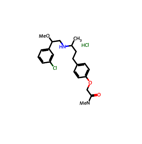 CNC(=O)COc1ccc(CCC(C)NCC(OC)c2cccc(Cl)c2)cc1.Cl